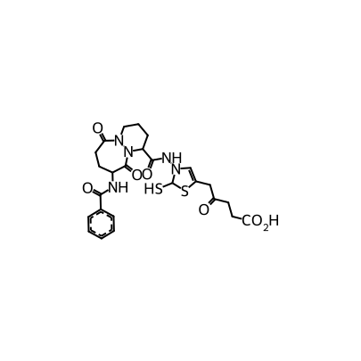 O=C(O)CCC(=O)CC1=CN(NC(=O)C2CCCN3C(=O)CCC(NC(=O)c4ccccc4)C(=O)N23)C(S)S1